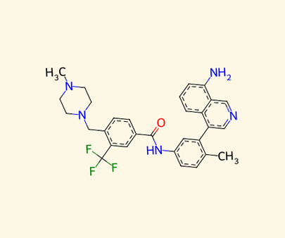 Cc1ccc(NC(=O)c2ccc(CN3CCN(C)CC3)c(C(F)(F)F)c2)cc1-c1cncc2c(N)cccc12